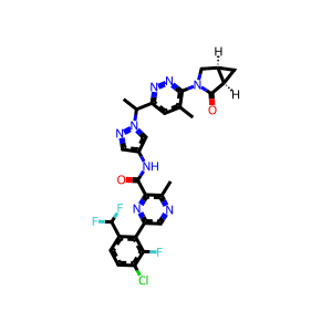 Cc1cc(C(C)n2cc(NC(=O)c3nc(-c4c(C(F)F)ccc(Cl)c4F)cnc3C)cn2)nnc1N1C[C@H]2C[C@H]2C1=O